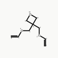 C=COCC1(COC=C)COC1